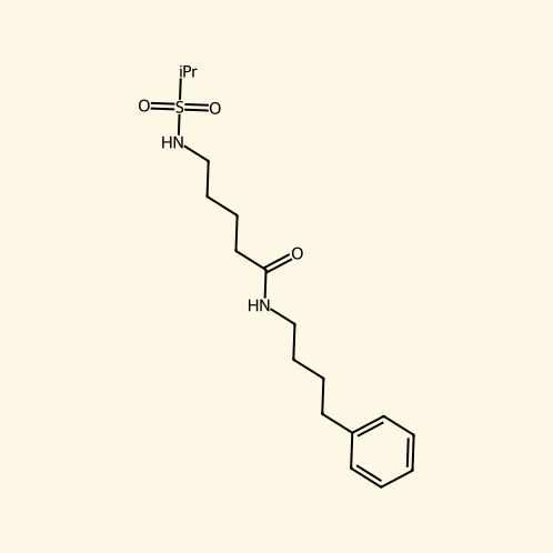 CC(C)S(=O)(=O)NCCCCC(=O)NCCCCc1ccccc1